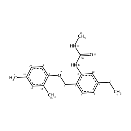 CCc1ccc(COc2ccc(C)cc2C)c(NC(=O)NC)c1